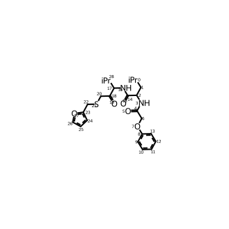 CC(C)CC(NC(=O)COc1ccccc1)C(=O)NC(C(=O)CSCc1ccco1)C(C)C